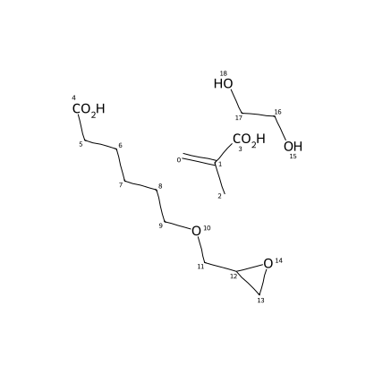 C=C(C)C(=O)O.O=C(O)CCCCCOCC1CO1.OCCO